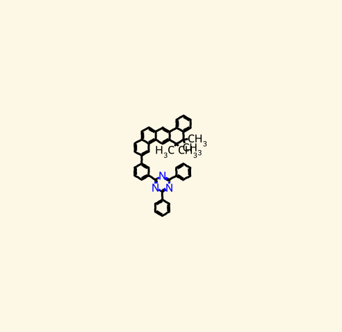 CC1(C)c2ccccc2-c2cc3ccc4ccc(-c5cccc(-c6nc(-c7ccccc7)nc(-c7ccccc7)n6)c5)cc4c3cc2C1(C)C